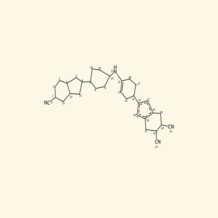 N#CC1CCC2CC(C3CCC(NC4=CCC(c5cc6c(s5)CC(C#N)C(C#N)C6)CC4)CC3)CC2C1